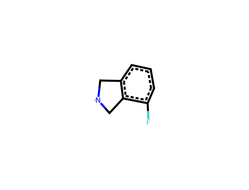 Fc1cccc2c1C[N]C2